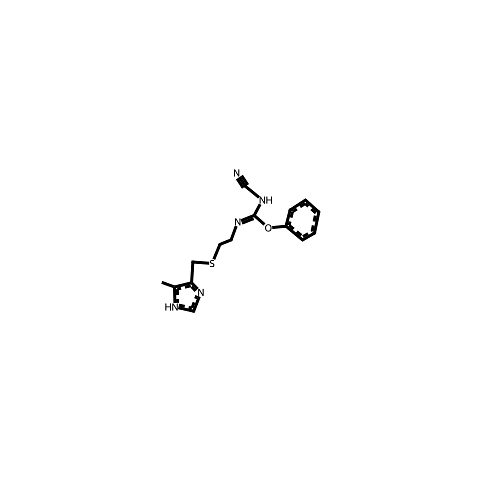 Cc1[nH]cnc1CSCC/N=C(/NC#N)Oc1ccccc1